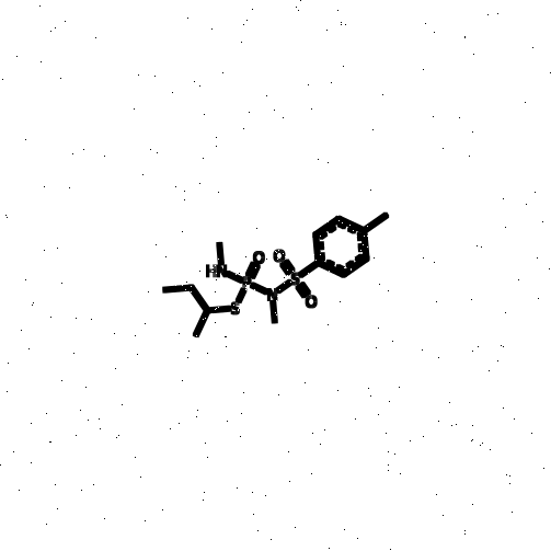 CCC(C)SP(=O)(NC)N(C)S(=O)(=O)c1ccc(C)cc1